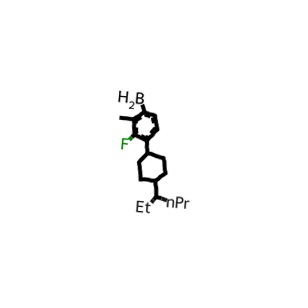 Bc1ccc(C2CCC(C(CC)CCC)CC2)c(F)c1C